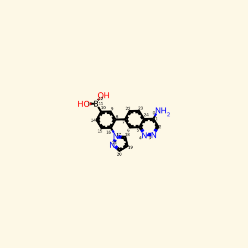 Nc1cnnc2cc(-c3cc(B(O)O)ccc3-n3cccn3)ccc12